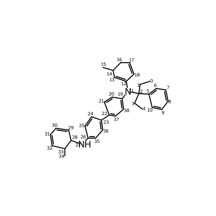 CCC(CC)(c1ccccc1)N(C1=CC(C)CC=C1)c1ccc(-c2ccc(NC3C=CC=CC3C)cc2)cc1